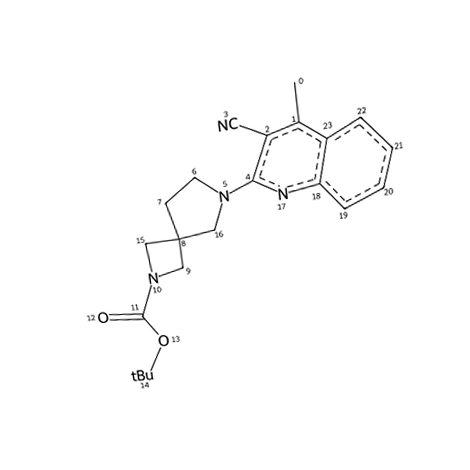 Cc1c(C#N)c(N2CCC3(CN(C(=O)OC(C)(C)C)C3)C2)nc2ccccc12